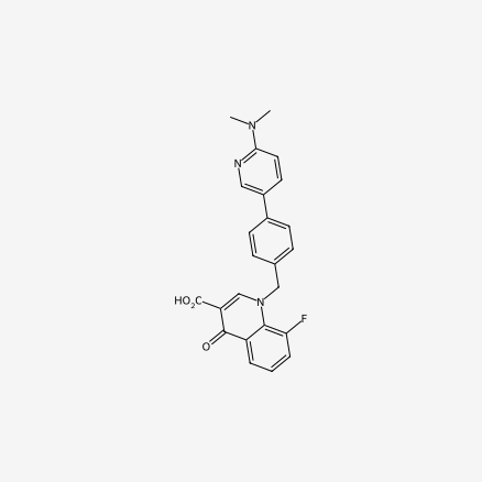 CN(C)c1ccc(-c2ccc(Cn3cc(C(=O)O)c(=O)c4cccc(F)c43)cc2)cn1